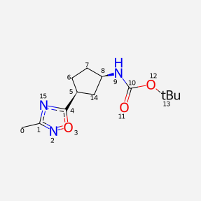 Cc1noc([C@H]2CC[C@@H](NC(=O)OC(C)(C)C)C2)n1